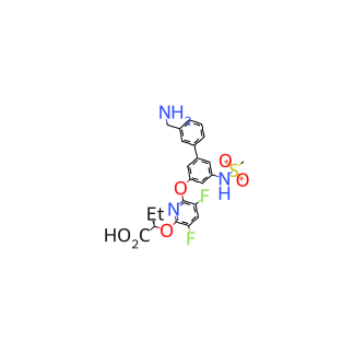 CC[C@@H](Oc1nc(Oc2cc(NS(C)(=O)=O)cc(-c3cccc(CN)c3)c2)c(F)cc1F)C(=O)O